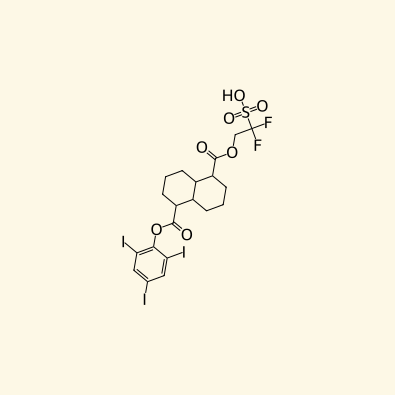 O=C(OCC(F)(F)S(=O)(=O)O)C1CCCC2C(C(=O)Oc3c(I)cc(I)cc3I)CCCC12